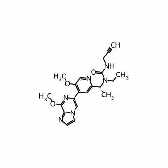 C#CCNC(=O)N(CC)[C@H](C)c1cc(-c2cn3ccnc3c(OC)n2)c(OC)cn1